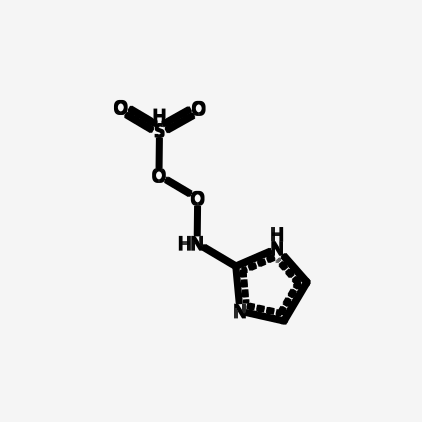 O=[SH](=O)OONc1ncc[nH]1